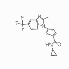 Cc1nc2cc(C(F)(F)F)ccc2n1-c1ccc(C(=O)NC2CC2)s1